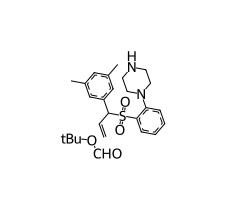 C=CC(c1cc(C)cc(C)c1)S(=O)(=O)c1ccccc1N1CCNCC1.CC(C)(C)OC=O